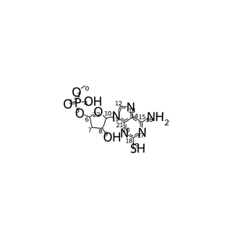 COP(=O)(O)OC1CC(O)C(n2cnc3c(N)nc(S)nc32)O1